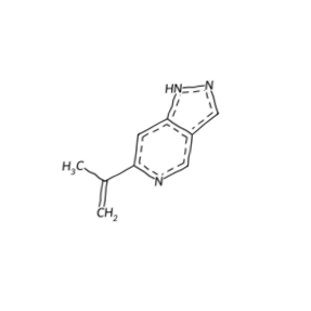 C=C(C)c1cc2[nH]ncc2cn1